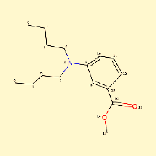 CCCCN(CCCC)c1cccc(C(=O)OC)c1